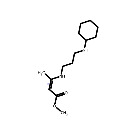 COC(=O)/C=C(/C)NCCCNC1CCCCC1